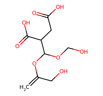 C=C(CO)OC(OCO)C(CC(=O)O)C(=O)O